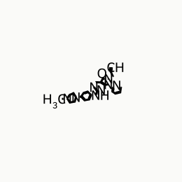 C#CCn1c(=O)c2cnc(Nc3ccc(N4CCN(C)CC4)cc3)nc2n1-c1ccccn1